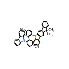 CC1(C)c2ccccc2-c2cc3c(cc21)c1ccccc1n3-c1ccc(C#N)cc1-c1cc(C#N)ccc1-n1c2ccccc2c2ccccc21